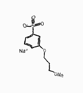 COCCCOc1cccc(S(=O)(=O)[O-])c1.[Na+]